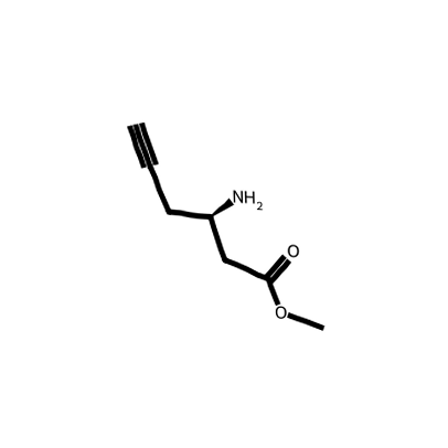 C#CC[C@@H](N)CC(=O)OC